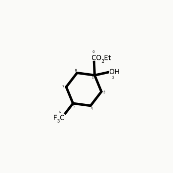 CCOC(=O)C1(O)CCC(C(F)(F)F)CC1